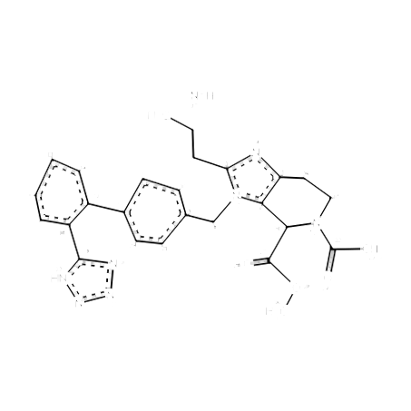 CCCc1nc2c(n1Cc1ccc(-c3ccccc3-c3nnn[nH]3)cc1)C(C(=O)OC)N(C(C)=O)CC2.[NaH]